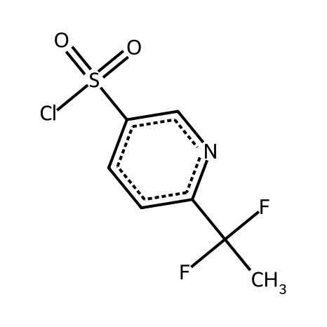 CC(F)(F)c1ccc(S(=O)(=O)Cl)cn1